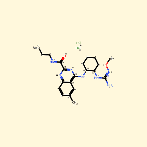 CCCO/N=C(/N)N[C@@H]1CCCC[C@@H]1Nc1nc(C(=O)NCCOC)nc2ccc(C)cc12.Cl.Cl